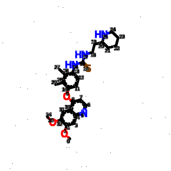 COc1cc2nccc(Oc3ccc(NC(=S)NCCC4CCCCN4)c(C)c3C)c2cc1OC